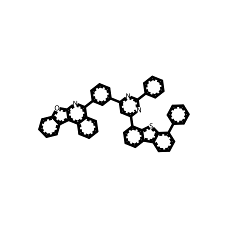 c1ccc(-c2nc(-c3cccc(-c4nc5oc6ccccc6c5c5ccccc45)c3)cc(-c3cccc4c3sc3c(-c5ccccc5)cccc34)n2)cc1